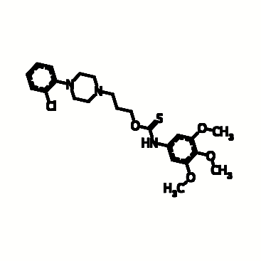 COc1cc(NC(=S)OCCCN2CCN(c3ccccc3Cl)CC2)cc(OC)c1OC